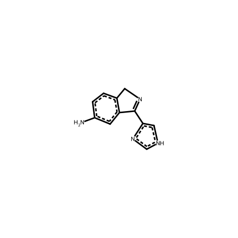 Nc1ccc2c(c1)C(c1c[nH]cn1)=NC2